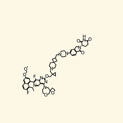 CCc1c(F)ccc2cc(OCOC)cc(-c3ncc4c(N5CCOCC6(CCO6)C5)nc(OCC5(CN6CCC7(CC6)CC(CN6CCN(c8ccc9c(c8)CN([C@H]8CCC(=O)NC8=O)C9=O)CC6)C7)CC5)nc4c3F)c12